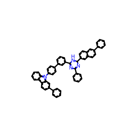 c1ccc(C2=NC(c3ccc4cc(-c5ccccc5)ccc4c3)NC(c3cccc(-c4ccc(-n5c6ccccc6c6ccc(-c7ccccc7)cc65)cc4)c3)=N2)cc1